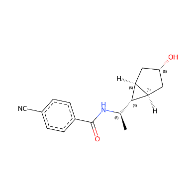 C[C@@H](NC(=O)c1ccc(C#N)cc1)[C@H]1[C@@H]2C[C@@H](O)C[C@@H]21